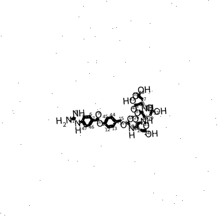 N=C(N)Nc1ccc(C(=O)Oc2ccc(COC(=O)N[C@@H](CC(=O)O)C(=O)N[C@@H](CC(=O)O)C(=O)N[C@@H](CC(=O)O)C(=O)O)cc2)cc1